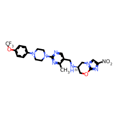 Cc1nc(N2CCN(c3ccc(OC(F)(F)F)cc3)CC2)ncc1CN[C@@H]1COc2nc([N+](=O)[O-])cn2C1